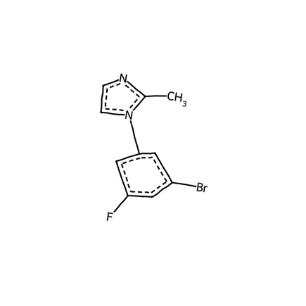 Cc1nccn1-c1cc(F)cc(Br)c1